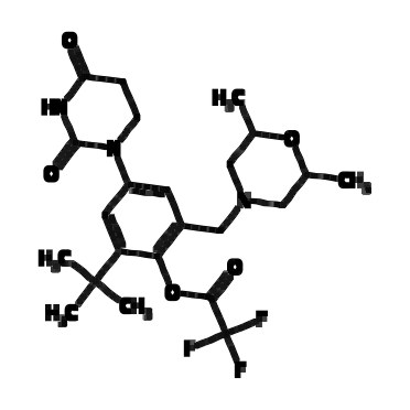 CC1CN(Cc2cc(N3CCC(=O)NC3=O)cc(C(C)(C)C)c2OC(=O)C(F)(F)F)CC(C)O1